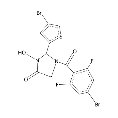 O=C1CN(C(=O)c2c(F)cc(Br)cc2F)C(c2cc(Br)cs2)N1O